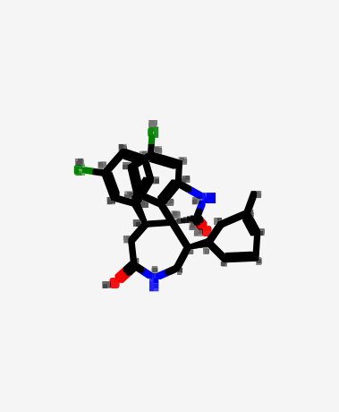 CC1=CC=CC([C@H]2CNC(=O)C[C@@H](c3cccc(Cl)c3)[C@]23C(=O)Nc2cc(Cl)ccc23)C1